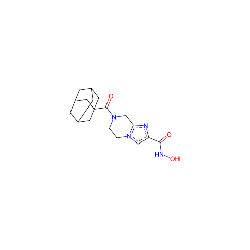 O=C(NO)c1cn2c(n1)CN(C(=O)C13CC4CC(CC(C4)C1)C3)CC2